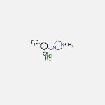 CN1CCCN(Cc2ccc(C(F)(F)F)cc2C(F)(F)F)CC1.Cl.Cl